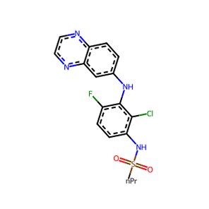 CCCS(=O)(=O)Nc1ccc(F)c(Nc2ccc3nccnc3c2)c1Cl